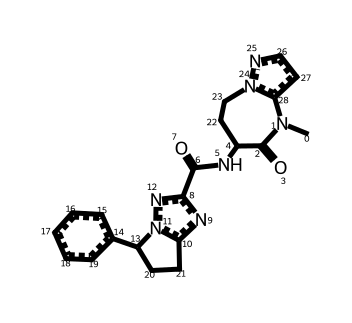 CN1C(=O)C(NC(=O)c2nc3n(n2)C(c2ccccc2)CC3)CCn2nccc21